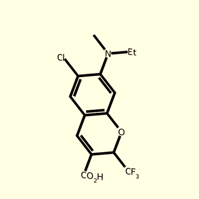 CCN(C)c1cc2c(cc1Cl)C=C(C(=O)O)C(C(F)(F)F)O2